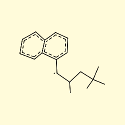 CC([CH]c1cccc2ccccc12)CC(C)(C)C